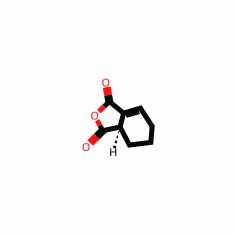 O=C1OC(=O)[C@@H]2CCCC=C12